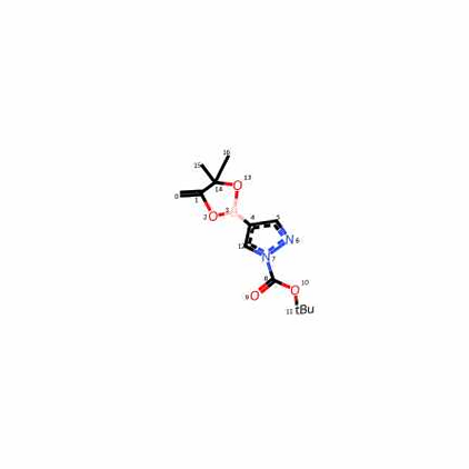 C=C1OB(c2cnn(C(=O)OC(C)(C)C)c2)OC1(C)C